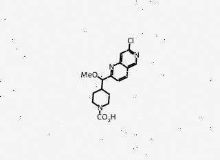 COC(c1ccc2cnc(Cl)cc2n1)C1CCN(C(=O)O)CC1